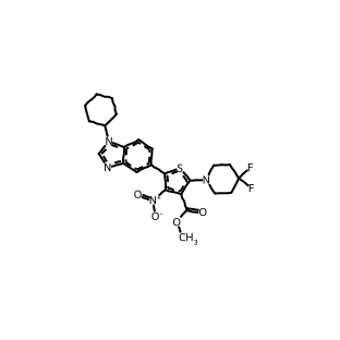 COC(=O)c1c(N2CCC(F)(F)CC2)sc(-c2ccc3c(c2)ncn3C2CCCCC2)c1[N+](=O)[O-]